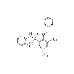 CCC(CC)(Pc1ccccc1F)c1cc(C)cc(C(C)(C)C)c1OCc1ccccc1